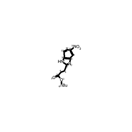 CCCCOC(=O)CCc1nc2cc([N+](=O)[O-])ccc2[nH]1